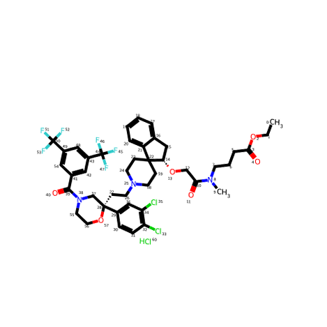 CCOC(=O)CCCN(C)C(=O)CO[C@H]1Cc2ccccc2C12CCN(CC[C@@]1(c3ccc(Cl)c(Cl)c3)CN(C(=O)c3cc(C(F)(F)F)cc(C(F)(F)F)c3)CCO1)CC2.Cl